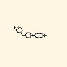 CN1CC2CC(N3CCC(CN4CCNCC4)CC3)CC2C1